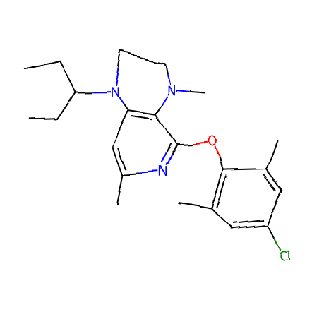 CCC(CC)N1CCN(C)c2c1cc(C)nc2Oc1c(C)cc(Cl)cc1C